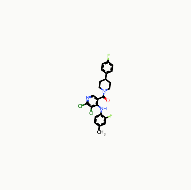 Cc1ccc(Nc2c(C(=O)N3CCC(c4ccc(F)cc4)CC3)cnc(Cl)c2Cl)c(F)c1